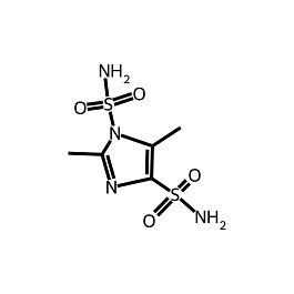 Cc1nc(S(N)(=O)=O)c(C)n1S(N)(=O)=O